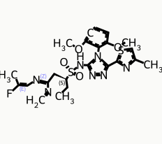 C=N/C(C[C@H](CC)S(=O)(=O)Nc1nnc(-c2nc(C)cs2)n1-c1c(OC)cccc1OC)=N\C=C(/C)F